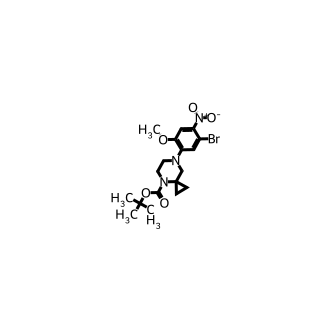 COc1cc([N+](=O)[O-])c(Br)cc1N1CCN(C(=O)OC(C)(C)C)C2(CC2)C1